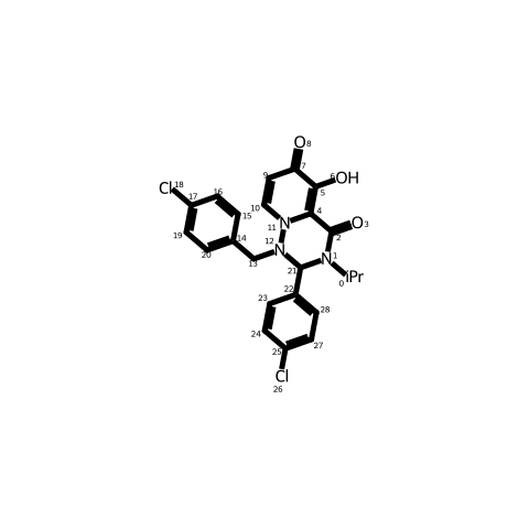 CC(C)N1C(=O)c2c(O)c(=O)ccn2N(Cc2ccc(Cl)cc2)C1c1ccc(Cl)cc1